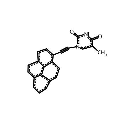 Cc1cn(C#Cc2ccc3ccc4cccc5ccc2c3c45)c(=O)[nH]c1=O